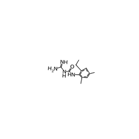 CCc1cc(C)cc(C)c1NC(=O)NC(=N)N